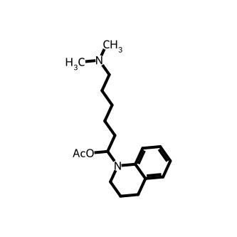 CC(=O)OC(CCCCCN(C)C)N1CCCc2ccccc21